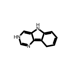 C1=CCc2c3c([nH]c2=C1)=CNC=N3